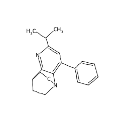 CC(C)c1cc(-c2ccccc2)c2c(n1)C1CCN2CC1